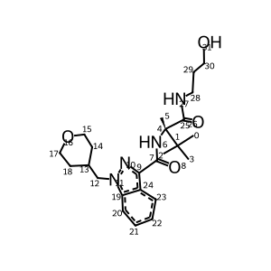 CC(C)(C)[C@](C)(NC(=O)c1nn(CC2CCOCC2)c2ccccc12)C(=O)NCCCO